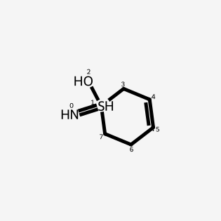 N=[SH]1(O)CC=[C]CC1